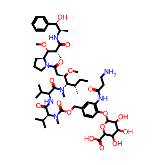 CC[C@H](C)[C@@H]([C@@H](CC(=O)N1CCC[C@H]1[C@H](OC)[C@@H](C)C(=O)N[C@H](C)[C@@H](O)c1ccccc1)OC)N(C)C(=O)[C@@H](NC(=O)[C@H](C(C)C)N(C)C(=O)OCc1ccc(OC2OC(C(=O)O)C(O)C(O)C2O)c(NC(=O)CCN)c1)C(C)C